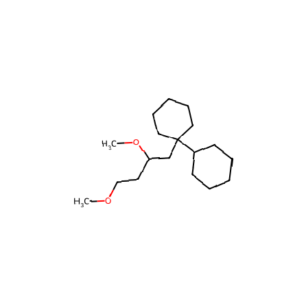 COCCC(CC1(C2CCCCC2)CCCCC1)OC